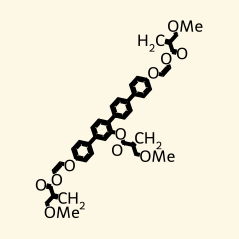 C=C(COC)C(=O)O/C=C\Oc1ccc(-c2ccc(-c3ccc(-c4ccc(O/C=C\OC(=O)C(=C)COC)cc4)cc3OC(=O)C(=C)COC)cc2)cc1